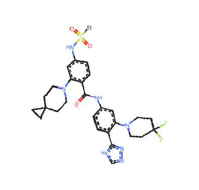 CCS(=O)(=O)Nc1ccc(C(=O)Nc2ccc(-c3nnc[nH]3)c(N3CCC(F)(F)CC3)c2)c(N2CCC3(CC2)CC3)c1